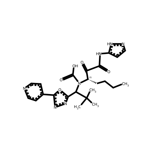 CCCC[C@@H](C(=O)C(=O)Nc1ccn[nH]1)N(C(=O)O)C(c1nnc(-c2ccncc2)o1)C(C)(C)C